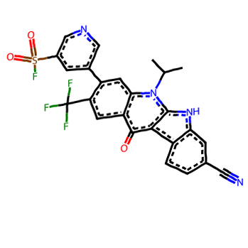 CC(C)n1c2cc(-c3cncc(S(=O)(=O)F)c3)c(C(F)(F)F)cc2c(=O)c2c3ccc(C#N)cc3[nH]c21